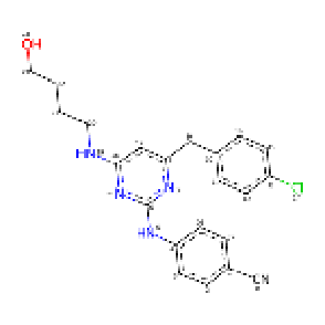 N#Cc1ccc(Nc2nc(Cc3ccc(Cl)cc3)cc(NCCCCO)n2)cc1